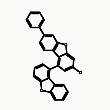 Clc1cc(-c2cccc3oc4ccccc4c23)c2c(c1)oc1cc(-c3ccccc3)ccc12